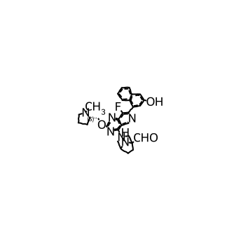 CN1CCC[C@H]1COc1nc(N2CC3CCC(C=O)(C2)N3)c2cnc(-c3cc(O)cc4ccccc34)c(F)c2n1